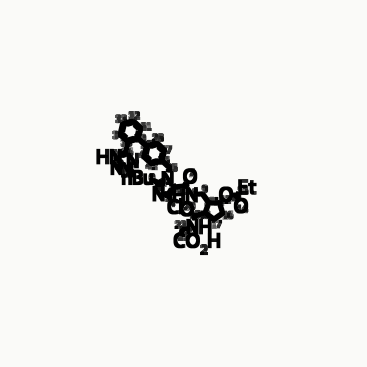 CCCCc1nc(Cl)c(C(=O)NCC2C(OC(=O)CC)CCC2C(=O)NCC(=O)O)n1Cc1ccc(-c2ccccc2-c2nnn[nH]2)cc1